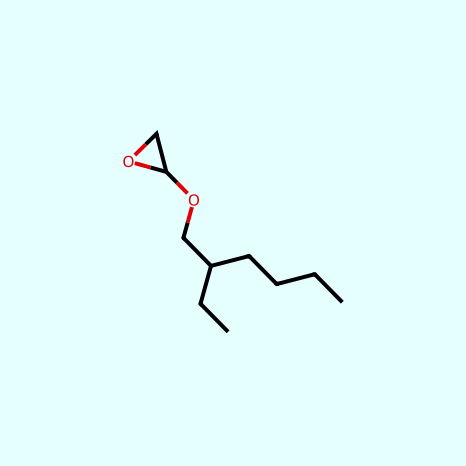 CCCCC(CC)COC1CO1